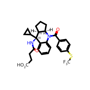 O=C(O)CCC(=O)N[C@]1(C2CC2)c2ccccc2N(C(=O)c2ccc(SC(F)(F)F)cc2)[C@@H]2CCC[C@@H]21